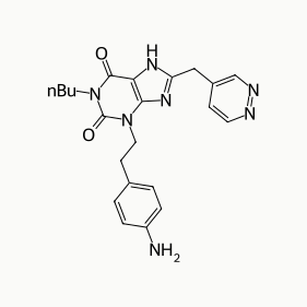 CCCCn1c(=O)c2[nH]c(Cc3ccnnc3)nc2n(CCc2ccc(N)cc2)c1=O